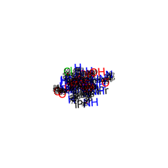 CC(C)C[C@H](NC(=O)[C@@H](CCCCNC(=O)c1cccnc1)NC(=O)[C@H](Cc1ccc(O)cc1)C(C)C(=O)[C@H](CO)NC(=O)[C@@H](Cc1cccnc1)NC(=O)[C@@H](Cc1ccc(Cl)cc1)NC(=O)[C@@H](Cc1ccc2ccccc2c1)NC(=O)CNC(=O)[C@@H]1CCCO1)C(=O)N[C@@H](CCCCNC(C)C)C(=O)N1CCC[C@H]1C(=O)N[C@@H](C)C(N)=O